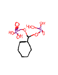 O=P(O)(O)OC(OP(=O)(O)O)C1CCCCC1